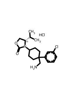 CC(C)[C@H]1COC(=O)N1C1CCC(CN)(c2cccc(Cl)c2)CC1.Cl